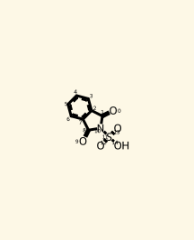 O=C1c2ccccc2C(=O)N1S(=O)(=O)O